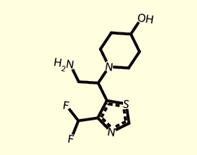 NCC(c1scnc1C(F)F)N1CCC(O)CC1